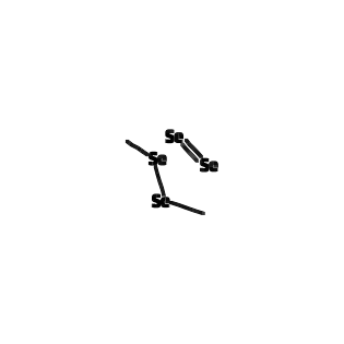 C[Se][Se]C.[Se]=[Se]